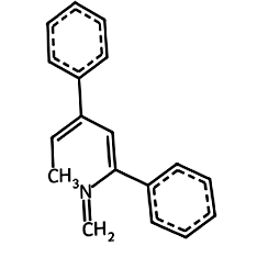 C=N/C(=C\C(=C/C)c1ccccc1)c1ccccc1